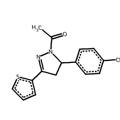 CC(=O)N1N=C(c2cccs2)CC1c1ccc(Cl)cc1